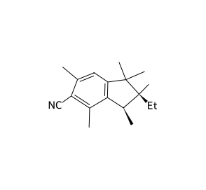 CC[C@@]1(C)[C@@H](C)c2c(cc(C)c(C#N)c2C)C1(C)C